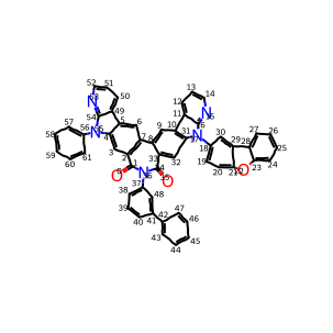 O=c1c2cc3c(cc2c2cc4c5cccnc5n(-c5ccc6oc7ccccc7c6c5)c4cc2c(=O)n1-c1cccc(-c2ccccc2)c1)c1cccnc1n3-c1ccccc1